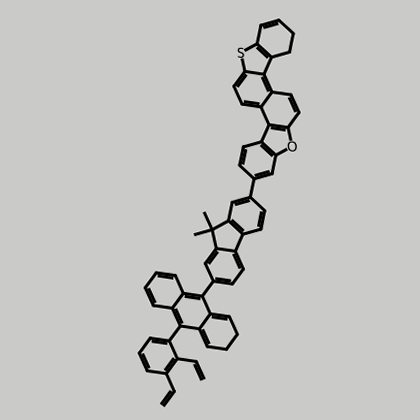 C=Cc1cccc(-c2c3c(c(-c4ccc5c(c4)C(C)(C)c4cc(-c6ccc7c(c6)oc6ccc8c(ccc9sc%10c(c98)CCC=C%10)c67)ccc4-5)c4ccccc24)=CCCC=3)c1C=C